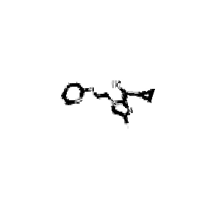 OC(c1nc(I)cn1CCOC1CCCCO1)C1CC1